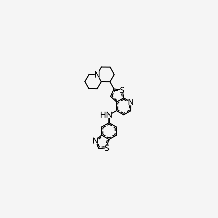 c1cc(Nc2ccc3scnc3c2)c2cc(C3CCCN4CCCCC34)sc2n1